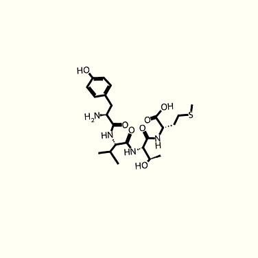 CSCC[C@H](NC(=O)[C@@H](NC(=O)[C@@H](NC(=O)[C@@H](N)Cc1ccc(O)cc1)C(C)C)[C@@H](C)O)C(=O)O